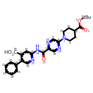 CC(C)(C)OC(=O)C1CCN(c2cnc(C(=O)Nc3cc(C(=O)O)c(-c4ccccc4)cn3)cn2)CC1